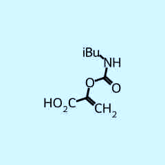 C=C(OC(=O)NC(C)CC)C(=O)O